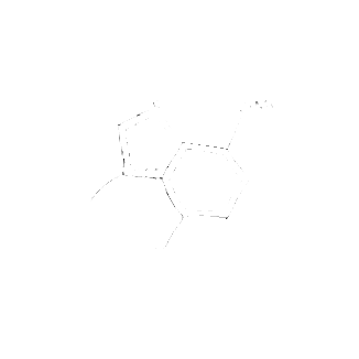 COc1ccc(Cl)c2c(C)c(C)sc12